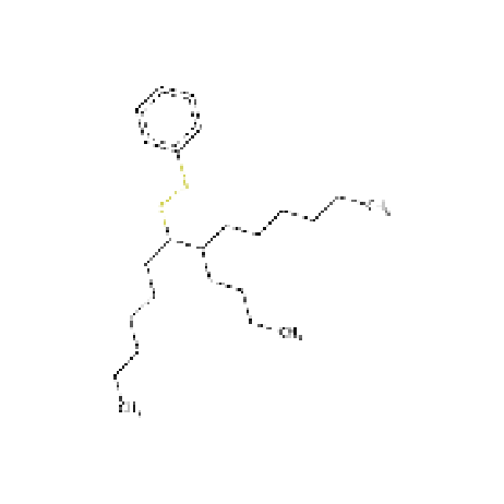 CCCCCCC(CCCC)C(CCCCCC)SSc1ccccc1